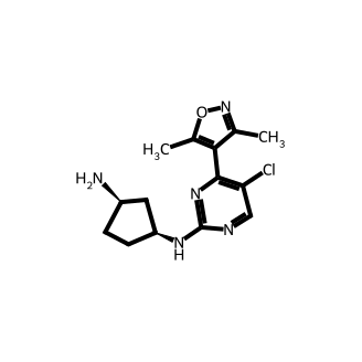 Cc1noc(C)c1-c1nc(N[C@H]2CC[C@@H](N)C2)ncc1Cl